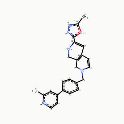 Cc1cc(-c2ccc(CN3C=CC4=C(CNC(c5nnc(C)o5)=C4)C3)cc2)ccn1